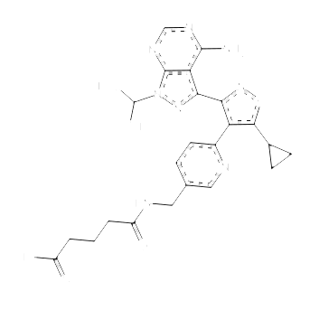 CC(C)n1nc(-c2noc(C3CC3)c2-c2ccc(CNC(=O)CCCC(=O)O)cn2)c2c(N)ncnc21